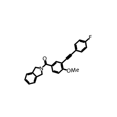 COc1ccc(C(=O)N2Cc3ccccc3C2)cc1C#Cc1ccc(F)cc1